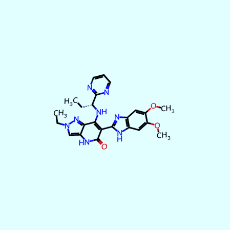 CC[C@@H](Nc1c(-c2nc3cc(OC)c(OC)cc3[nH]2)c(=O)[nH]c2cn(CC)nc12)c1ncccn1